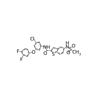 CS(=O)(=O)Nc1ccc2sc(C(=O)Nc3cc(Cl)cc(Oc4ccc(F)c(F)c4)c3)cc2c1